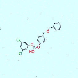 OB(Oc1ccc(COCc2ccccc2)cc1)Oc1cc(Cl)cc(Cl)c1